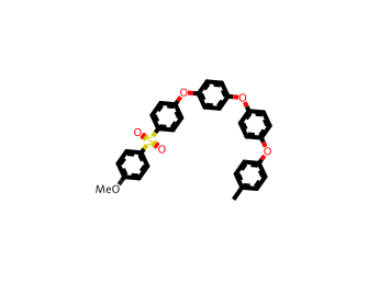 COc1ccc(S(=O)(=O)c2ccc(Oc3ccc(Oc4ccc(Oc5ccc(C)cc5)cc4)cc3)cc2)cc1